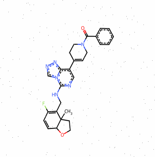 CC12CCOC1C=CC(F)=C2CNc1ncc(C2=CCN(C(=O)c3ccccc3)CC2)c2nncn12